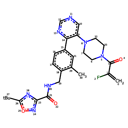 C=C(F)C(=O)N1CCN(c2cncnc2-c2ccc(CNC(=O)c3noc(C(C)(C)C)n3)c(C)c2)CC1